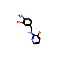 Nc1ccc(CNc2ncccc2Br)cc1O